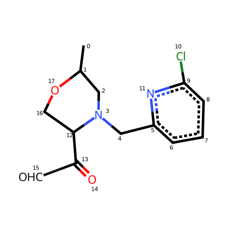 CC1CN(Cc2cccc(Cl)n2)C(C(=O)C=O)CO1